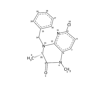 C[C@H]1C(=O)N(C)c2ccc(Cl)nc2N1Cc1ccccc1